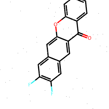 O=c1c2ccccc2oc2cc3cc(F)c(F)cc3cc12